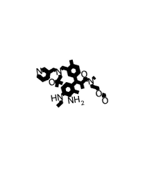 CCNc1ccc(C(c2ccc(C)c(CN3Cc4cnccc4OC(C)(C)C3)c2)C(C)C(=O)N(C)CCOC=O)c(C)c1N